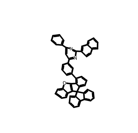 c1ccc(-c2cc(-c3cccc(-c4cccc5c4-c4oc6ccccc6c4C54c5ccccc5-c5ccccc54)c3)nc(-c3ccc4ccccc4c3)n2)cc1